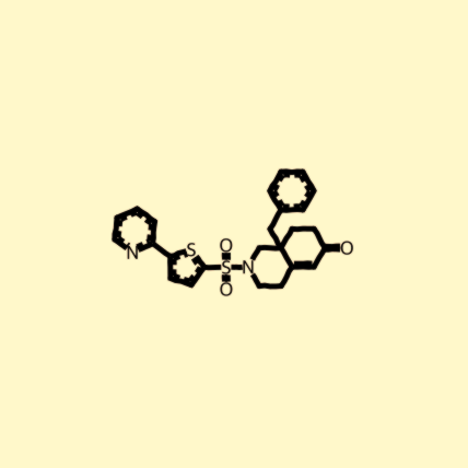 O=C1C=C2CCN(S(=O)(=O)c3ccc(-c4ccccn4)s3)CC2(Cc2ccccc2)CC1